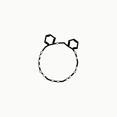 c1ccc2c(c1)COCCCOCCCOCCCOCCCOc1ccccc1CO2